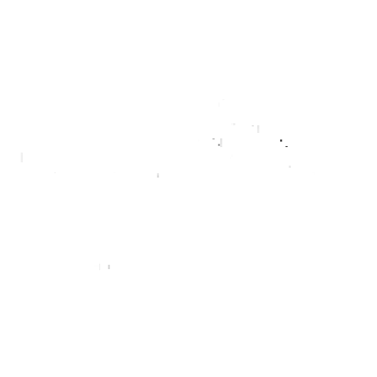 COc1ccc(C(OCC(O)Cn2ccc(NC(=O)c3ccccc3)nc2=O)(c2ccccc2)c2ccc(OC)cc2)cc1